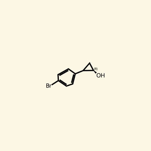 O[C@@H]1CC1c1ccc(Br)cc1